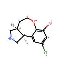 Clc1cc(Br)c2c(c1)[C@H]1CNC[C@H]1CCO2